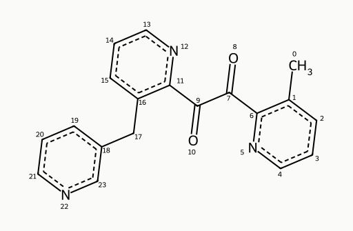 Cc1cccnc1C(=O)C(=O)c1ncccc1Cc1cccnc1